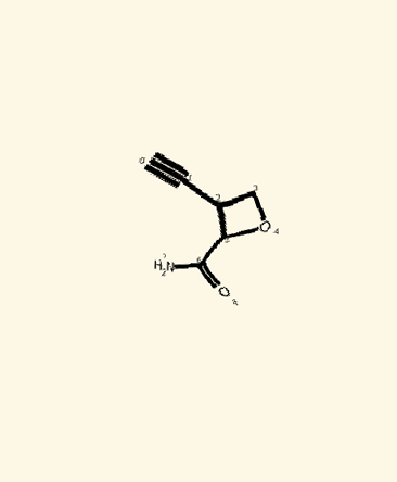 C#C[C]1COC1C(N)=O